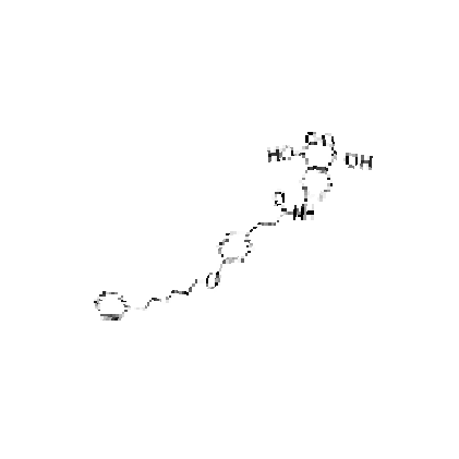 O=C(CCc1ccc(OCCCCCCc2ccccc2)cc1)Nc1ccc(C(=O)O)c(C(=O)O)c1